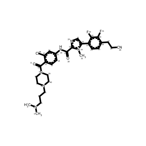 CN(C)CCCN1CCN(C(=O)c2ccc(NC(=O)c3ncc(-c4ccc(CCC#N)c(F)c4F)n3C)cc2Cl)CC1